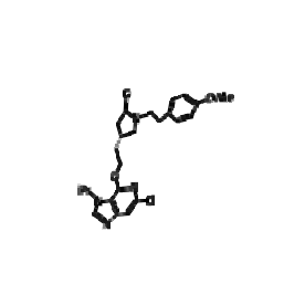 COc1ccc(CCN2C[C@H](CCOc3nc(Cl)cc4ncn(C(C)C)c34)CC2=O)cc1